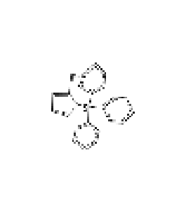 CC(C)C1=CC=C[C]1[Si](c1ccccc1)(c1ccccc1)c1ccccc1